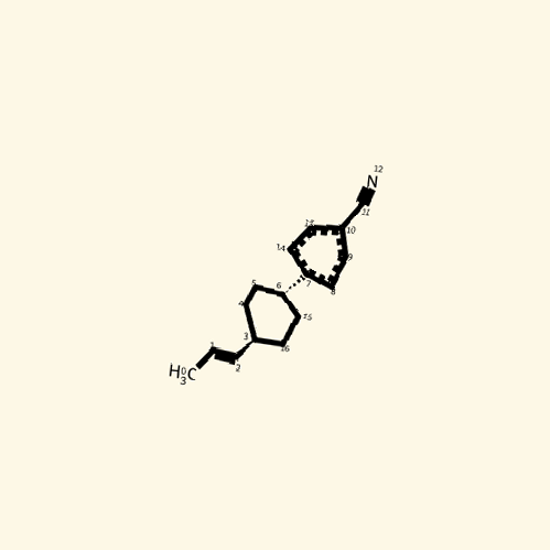 CC=C[C@H]1CC[C@H](c2ccc(C#N)cc2)CC1